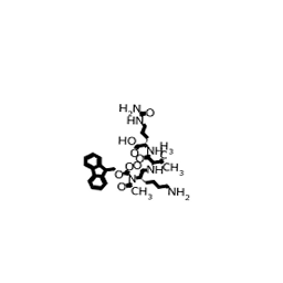 CC(=O)N(C(=O)OCC1c2ccccc2-c2ccccc21)[C@@H](CCCCN)C(=O)N[C@H](C(=O)N[C@@H](CCCNC(N)=O)C(=O)O)C(C)C